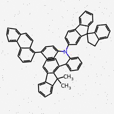 CC1(C)c2ccccc2-c2cccc(-c3ccccc3N(c3ccc(-c4cccc5c4ccc4ccccc45)cc3)c3ccc4c(c3)C3(CCc5ccccc53)c3ccccc3-4)c21